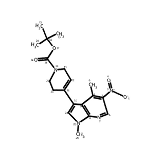 Cc1c([N+](=O)[O-])cnc2c1c(C1=CCN(C(=O)OC(C)(C)C)CC1)cn2C